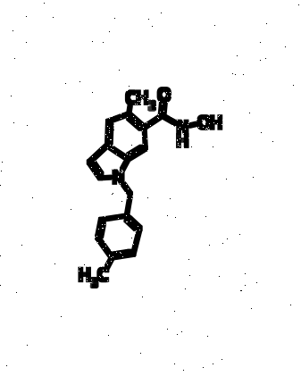 Cc1ccc(Cn2ccc3cc(C)c(C(=O)NO)cc32)cc1